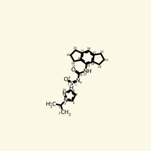 CC(C)n1ccc(/[SH](=O)=N/C(=O)Nc2c3c(cc4c2CCC4)CCC3)n1